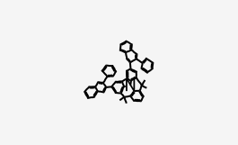 CC1(C)c2cccc3c2-n2c4c1cc(-c1cc5ccccc5cc1-c1ccccc1)cc4c1cc(-c4cc5ccccc5cc4-c4ccccc4)cc(c12)C3(C)C